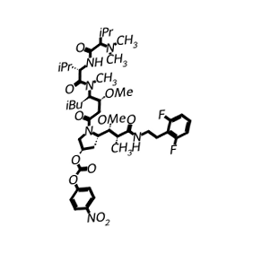 CC[C@H](C)C([C@@H](CC(=O)N1C[C@@H](OC(=O)Oc2ccc([N+](=O)[O-])cc2)C[C@H]1[C@H](OC)[C@@H](C)C(=O)NCCc1c(F)cccc1F)OC)N(C)C(=O)[C@@H](NC(=O)C(C(C)C)N(C)C)C(C)C